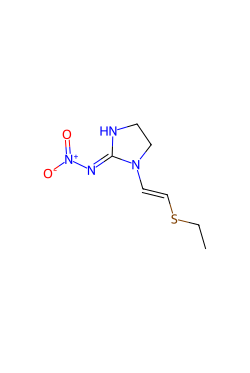 CCS/C=C/N1CCN/C1=N\[N+](=O)[O-]